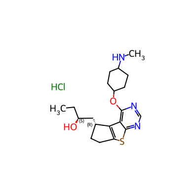 CC[C@H](O)C[C@H]1CCc2sc3ncnc(OC4CCC(NC)CC4)c3c21.Cl